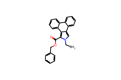 BCn1cc2c3ccccc3c3ccccc3c2c1C(=O)OCc1ccccc1